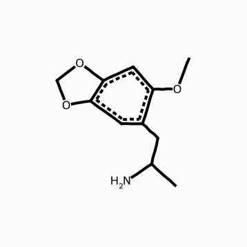 COc1cc2c(cc1CC(C)N)OCO2